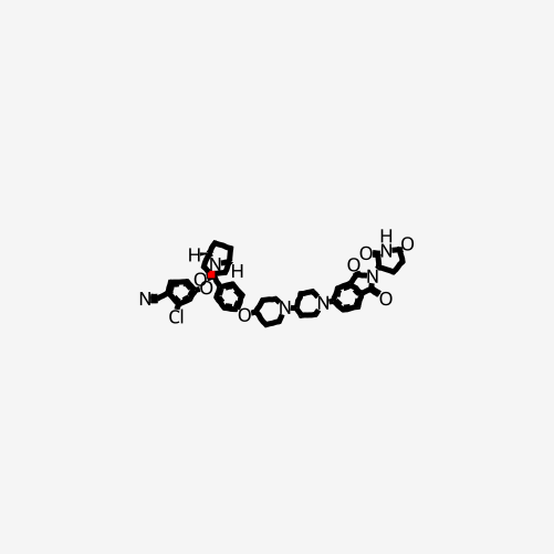 N#Cc1ccc(O[C@H]2C[C@H]3CC[C@@H](C2)N3C(=O)c2ccc(OC3CCN(C4CCN(c5ccc6c(c5)C(=O)N(C5CCC(=O)NC5=O)C6=O)CC4)CC3)cc2)cc1Cl